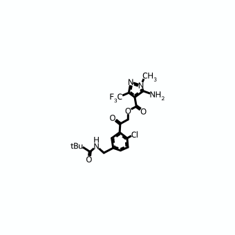 Cn1nc(C(F)(F)F)c(C(=O)OCC(=O)c2cc(CNC(=O)C(C)(C)C)ccc2Cl)c1N